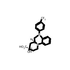 O=C(O)[C@@]1(O)CCN2c3ccccc3N(c3ccc(C(F)(F)F)cc3)C[C@@H]2C1